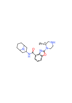 CC(C)[C@H]1CNCCN1c1nc2c(C(=O)NC3CC4CCCC(C3)N4C)cccc2o1